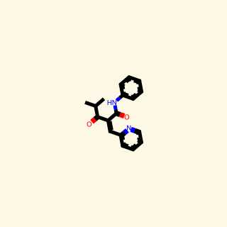 CC(C)C(=O)C(=Cc1ccccn1)C(=O)Nc1ccccc1